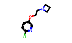 Clc1ccc(OCCN2CCC2)cn1